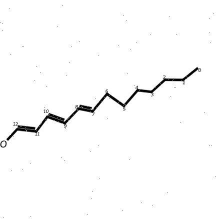 CCCCCCCC=C/C=C/C=CO